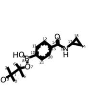 CC(C)(O)C(C)(C)OB(O)c1ccc(C(=O)NC2CC2)cc1